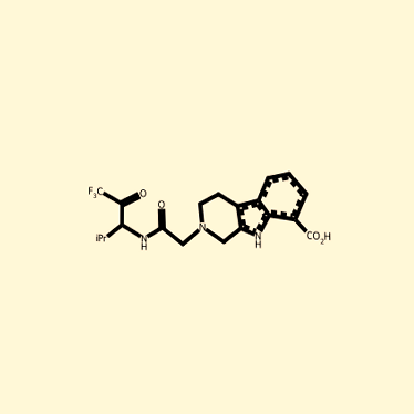 CC(C)C(NC(=O)CN1CCc2c([nH]c3c(C(=O)O)cccc23)C1)C(=O)C(F)(F)F